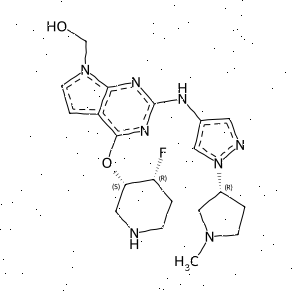 CN1CC[C@@H](n2cc(Nc3nc(O[C@H]4CNCC[C@H]4F)c4ccn(CO)c4n3)cn2)C1